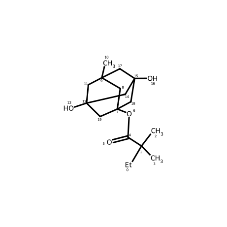 CCC(C)(C)C(=O)OC12CC3(C)CC(O)(CC(O)(C3)C1)C2